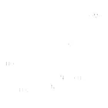 COCCOCc1c(CO)c(C)nn1C